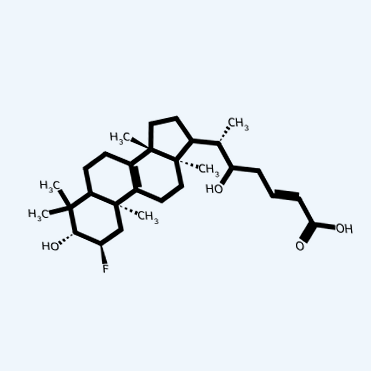 C[C@H](C(O)C/C=C/C(=O)O)C1CC[C@@]2(C)C3=C(CC[C@]12C)[C@@]1(C)C[C@@H](F)[C@H](O)C(C)(C)C1CC3